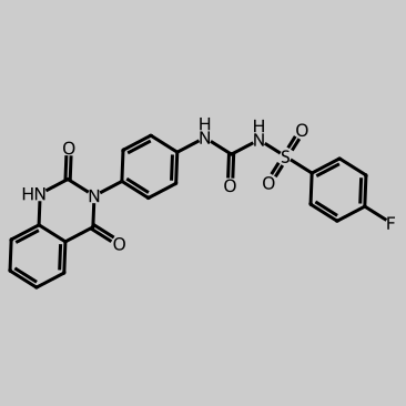 O=C(Nc1ccc(-n2c(=O)[nH]c3ccccc3c2=O)cc1)NS(=O)(=O)c1ccc(F)cc1